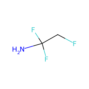 NC(F)(F)CF